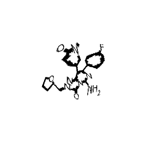 Cn1cc(-c2c(-c3ccc(F)cc3)nc(N)n3c(=O)n(C[C@H]4CCCO4)nc23)ccc1=O